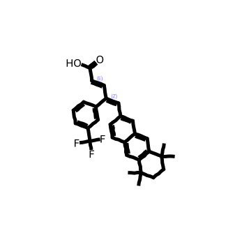 CC1(C)CCC(C)(C)c2cc3cc(/C=C(/C=C/C(=O)O)c4cccc(C(F)(F)F)c4)ccc3cc21